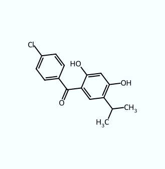 CC(C)c1cc(C(=O)c2ccc(Cl)cc2)c(O)cc1O